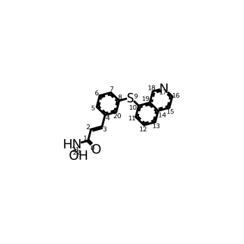 O=C(/C=C/c1cccc(Sc2cccc3ccncc23)c1)NO